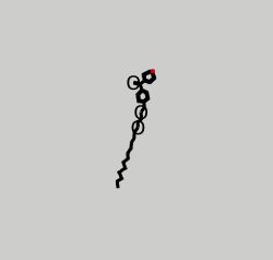 CCCCCCCCCCCCOCCOCc1ccc(C(=O)c2ccccc2)cc1